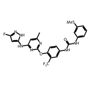 CSc1cccc(NC(=O)Nc2ccc(Oc3nc(C)cc(Nc4cc(F)n[nH]4)n3)c(C(F)(F)F)c2)c1